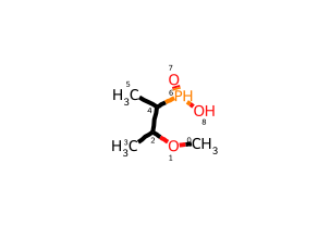 COC(C)C(C)[PH](=O)O